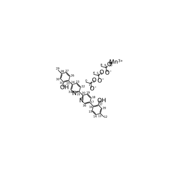 CC(=O)[O-].CC(=O)[O-].CC(=O)[O-].Cc1ccc(-c2ccc(-c3ccc(-c4ccc(C)cc4O)cn3)nc2)c(O)c1.[Mn+3]